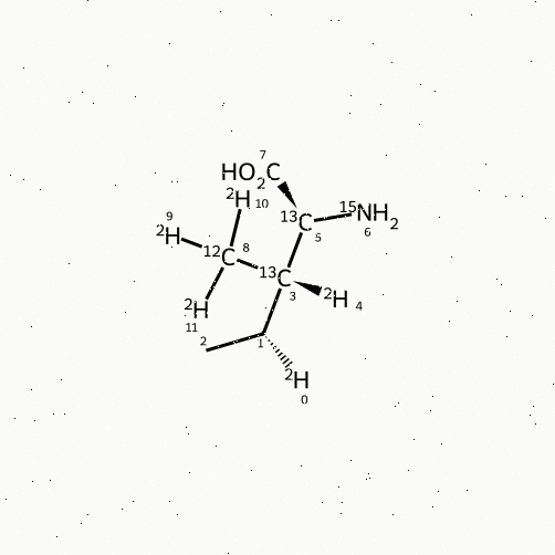 [2H][C@H](C)[13C@@]([2H])([13C@H]([15NH2])[13C](=O)O)[12C]([2H])([2H])[2H]